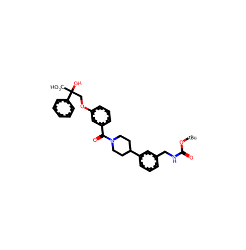 CC(C)(C)OC(=O)NCc1cccc(C2CCN(C(=O)c3cccc(OCC(O)(C(=O)O)c4ccccc4)c3)CC2)c1